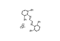 CC(C)c1cccc(C(C)C)c1N=CC=Nc1c(C(C)C)cccc1C(C)C.[Cl-].[Cl-].[Co+2]